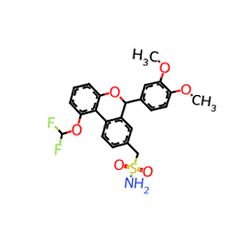 COc1ccc(C2Oc3cccc(OC(F)F)c3-c3ccc(CS(N)(=O)=O)cc32)cc1OC